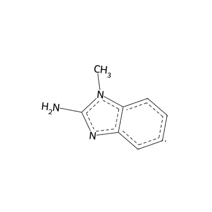 Cn1c(N)nc2c[c]ccc21